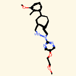 COCCOc1cnc(N2C=C3CCC(c4cccc(OC)c4C)CC3=CN2)nc1